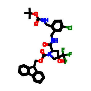 CC(C)(C)OC(=O)NCc1ccc(Cl)cc1CNC(=O)C1CC(O)(C(F)(F)F)CN1C(=O)OCC1c2ccccc2-c2ccccc21